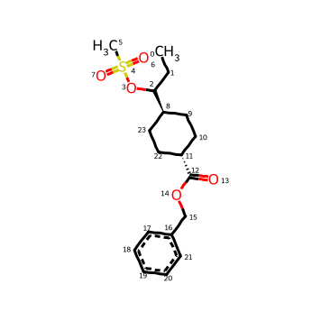 CCC(OS(C)(=O)=O)[C@H]1CC[C@H](C(=O)OCc2ccccc2)CC1